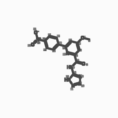 COc1cc(C(=O)Nc2nnn[nH]2)nc(-c2ccc([N+](=O)[O-])cc2)c1